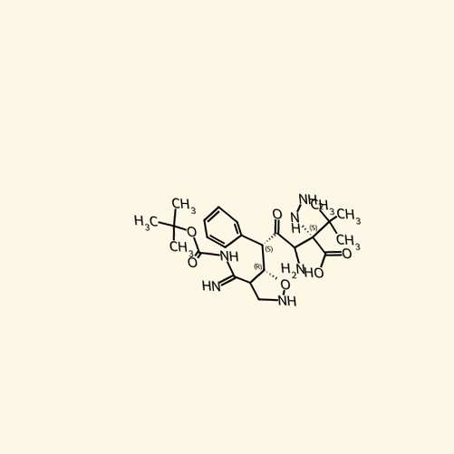 CC(C)(C)OC(=O)NC(=N)C1CNO[C@H]1[C@@H](C(=O)C(N)[C@](NN)(C(=O)O)C(C)(C)C)c1ccccc1